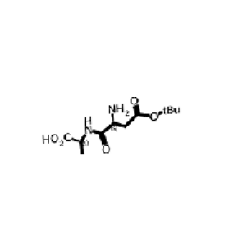 C[C@H](NC(=O)[C@@H](N)CC(=O)OC(C)(C)C)C(=O)O